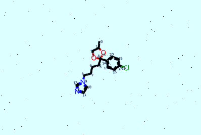 CC1COC(CCCCn2ccnc2)(c2ccc(Cl)cc2)O1